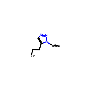 CCCCCCn1nncc1CCC(C)C